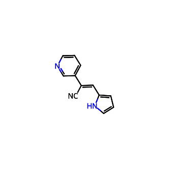 N#CC(=Cc1ccc[nH]1)c1cccnc1